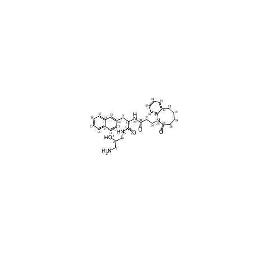 NCC(O)CNC(=O)C(Cc1ccc2ccccc2c1)NC(=O)CCN1C(=O)CCCCc2ccccc21